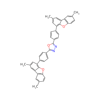 Cc1ccc2oc3c(-c4ccc(-c5nnc(-c6ccc(-c7cc(C)cc8c7oc7ccc(C)cc78)cc6)o5)cc4)cc(C)cc3c2c1